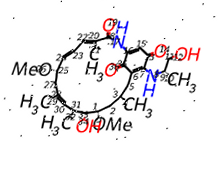 CO[C@H]1C[C@H](C)CC2=C(N[C@@H](C)CO)C(=O)C=C(NC(=O)/C(C)=C/C=C/[C@@H](OC)[CH]/C(C)=C\[C@H](C)[C@H]1O)C2=O